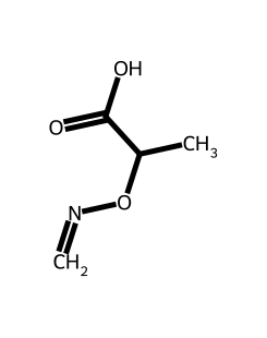 C=NOC(C)C(=O)O